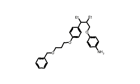 CCC(COc1ccc(N)cc1)C(CC)c1ccc(OCCCOCc2ccccc2)cc1